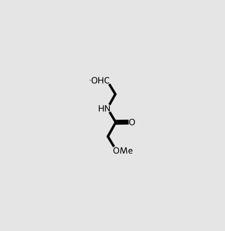 COCC(=O)NC[C]=O